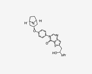 CCCC(O)Cc1cc2ncn(-c3ccc(O[C@H]4C[C@H]5CC[C@@H](C4)N5C)cc3)c(=O)c2s1